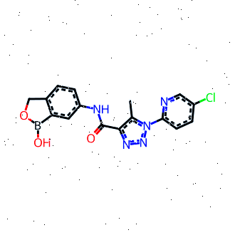 Cc1c(C(=O)Nc2ccc3c(c2)B(O)OC3)nnn1-c1ccc(Cl)cn1